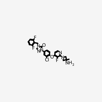 CC1(N)CN(c2nccc(Oc3ccc(-n4ncn(Cc5c(F)cccc5F)c4=O)cc3Cl)c2F)C1